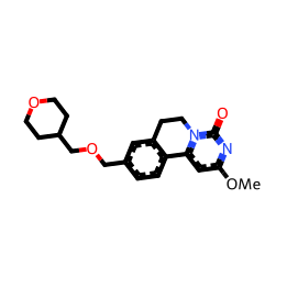 COc1cc2n(c(=O)n1)CCc1cc(COCC3CCOCC3)ccc1-2